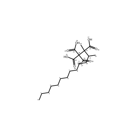 CCCCCCCCCCCC(C)C(C)(C(=O)O)C(C(=O)O)(C(=O)O)C(=O)O